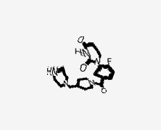 O=C1CCN(c2cc(C(=O)N3CCC(CN4CCNCC4)CC3)ccc2F)C(=O)N1